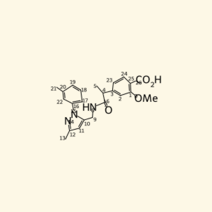 COc1cc(C(C)C(=O)NCc2cc(C)nn2-c2cccc(C)c2)ccc1C(=O)O